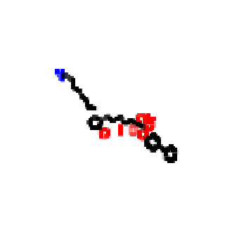 N#CCCCCC/C=C/[C@H]1CCC(=O)[C@@H]1CCCCCC(O)(O)C(=O)Oc1ccc(-c2ccccc2)cc1